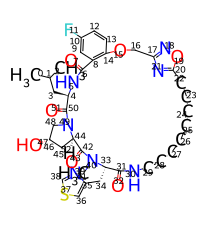 CC(C)C[C@H]1NC(=O)c2cc(F)ccc2OCc2noc(n2)CCCCCCCCNC(=O)[C@H](Cc2cscn2)N(C)C(=O)[C@H]2C[C@H](O)CN2C1=O